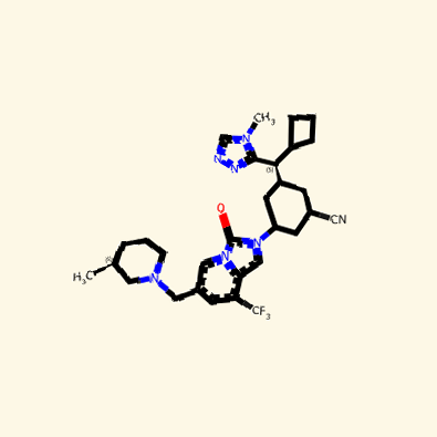 C[C@H]1CCCN(Cc2cc(C(F)(F)F)c3cn(C4CC(C#N)CC([C@@H](c5nncn5C)C5CCC5)C4)c(=O)n3c2)C1